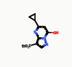 CCOC(=O)c1cnn2c(O)cc(C3CC3)nc12